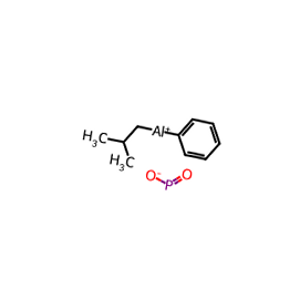 CC(C)[CH2][Al+][c]1ccccc1.O=P[O-]